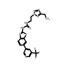 CCc1nnn(CCNC(=O)Nc2nc3ccc(-c4cncc(C(F)(F)F)c4)cc3s2)n1